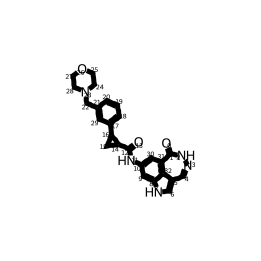 O=C1NN=Cc2c[nH]c3cc(NC(=O)C4CC4c4cccc(CN5CCOCC5)c4)cc1c23